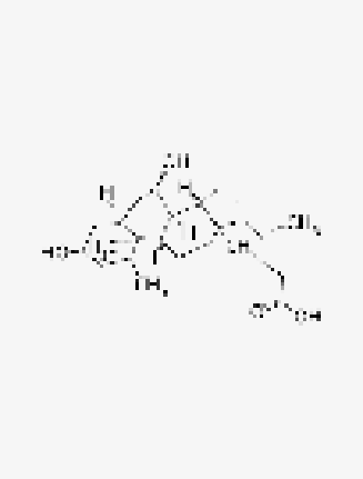 CC1C[C@@H](O)C[C@H]2C[C@@H](O)[C@H]3[C@@H]4CC[C@H]([C@H](C)CCC(=O)O)[C@@]4(C)CC[C@@H]3[C@@]12C